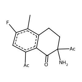 CC(=O)c1cc(F)c(C)c2c1C(=O)C(N)(C(C)=O)CC2